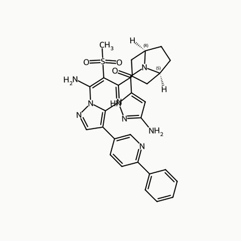 CS(=O)(=O)c1c(C2C[C@H]3CC[C@@H](C2)N3C(=O)c2cc(N)n[nH]2)nc2c(-c3ccc(-c4ccccc4)nc3)cnn2c1N